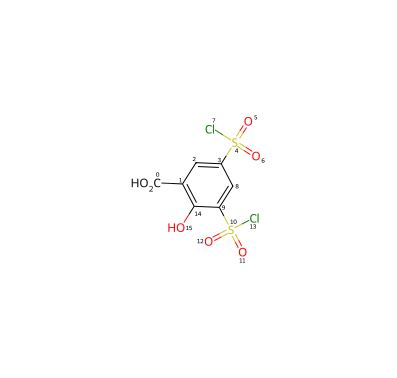 O=C(O)c1cc(S(=O)(=O)Cl)cc(S(=O)(=O)Cl)c1O